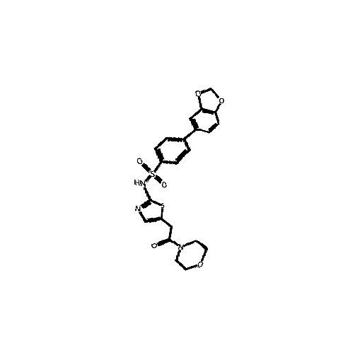 O=C(Cc1cnc(NS(=O)(=O)c2ccc(-c3ccc4c(c3)OCO4)cc2)s1)N1CCOCC1